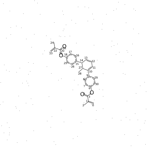 C=C(C)C(=O)Oc1ccc(C2=CC=CC(c3ccc(OC(=O)C(=C)C)cc3)C2C)cc1